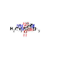 Cc1ncnc2c1ccn2[C@@H]1O[C@H]([C@H](O)c2cnn(C)c2)[C@@H](O)[C@H]1O